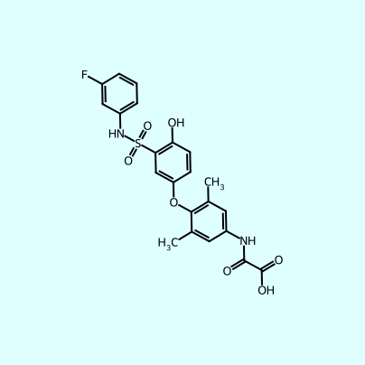 Cc1cc(NC(=O)C(=O)O)cc(C)c1Oc1ccc(O)c(S(=O)(=O)Nc2cccc(F)c2)c1